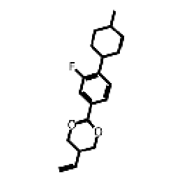 C=CC1COC(c2ccc(C3CCC(C)CC3)c(F)c2)OC1